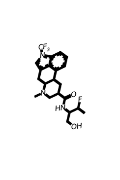 CC(F)C(CO)NC(=O)C1CC2c3cccc4c3c(cn4C(F)(F)F)CC2N(C)C1